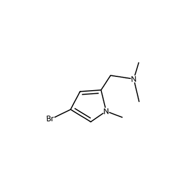 CN(C)Cc1cc(Br)cn1C